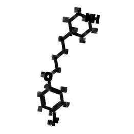 Fc1ccc(OCCCC[C]2CCNCC2)cc1